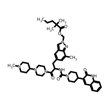 CCCC(C)(C)C(=O)OCn1cc2cc(CC(NC(=O)N3CCC(c4cc5ccccc5[nH]c4=O)CC3)C(=O)N3CCN(C4CCN(C)CC4)CC3)cc(C)c2n1